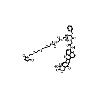 CCC1(O)C(=O)OCc2c1cc1n(c2=O)Cc2c-1nc1ccc(NC(=O)CNC(=O)[C@H](Cc3ccccc3)NC(=O)CNC(=O)CNC(=O)CCOCCOCCOCCN3C(=O)C=CC3=O)c3c1c2C=CS3